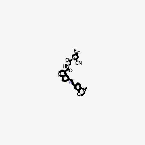 CN1CCOc2cc(/C=C/c3ccc4nccc(C(=O)NCC(=O)N5CC(F)(F)CC5C#N)c4c3)ccc21